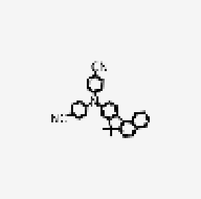 CC1(C)c2cc(N(c3ccc(C#N)cc3)c3ccc(C#N)cc3)ccc2-c2c1ccc1ccccc21